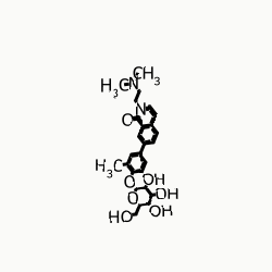 Cc1cc(-c2ccc3ccn(CCN(C)C)c(=O)c3c2)ccc1OC1OC(CO)C(O)C(O)C1O